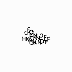 Cc1cc(C(F)(F)F)cc(N(C=O)C(CN(C)CC2(O)CNC2)C(=O)N(C)c2ccc(F)c(Cl)c2F)n1